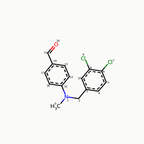 CN(Cc1ccc(Cl)c(Cl)c1)c1ccc(C=O)cc1